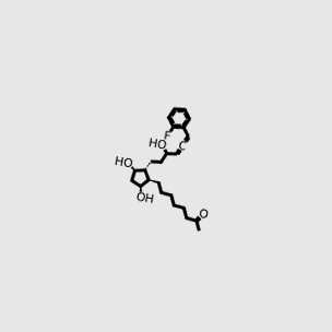 CC(=O)CCCCCC[C@@H]1[C@@H](CCC(O)C=C=Cc2ccccc2F)[C@H](O)C[C@@H]1O